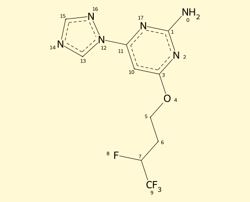 Nc1nc(OCCC(F)C(F)(F)F)cc(-n2cncn2)n1